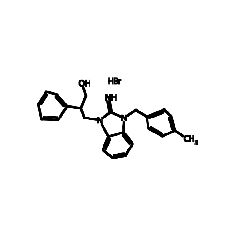 Br.Cc1ccc(Cn2c(=N)n(CC(CO)c3ccccc3)c3ccccc32)cc1